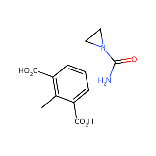 Cc1c(C(=O)O)cccc1C(=O)O.NC(=O)N1CC1